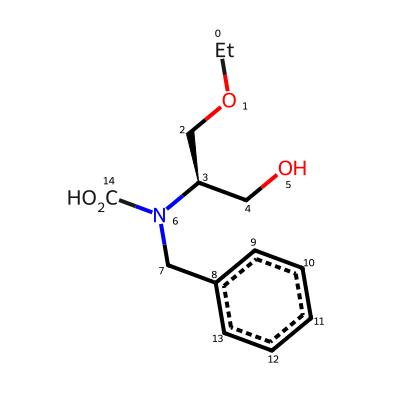 CCOC[C@@H](CO)N(Cc1ccccc1)C(=O)O